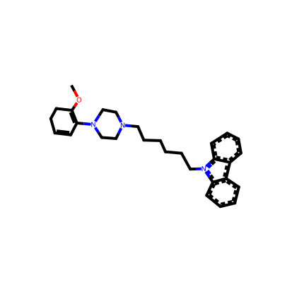 COC1=C(N2CCN(CCCCCCn3c4ccccc4c4ccccc43)CC2)C=CCC1